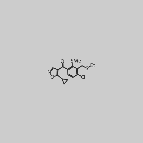 CCSCc1c(Cl)ccc(C(=O)c2cnoc2C2CC2)c1SC